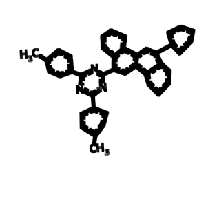 Cc1ccc(-c2nc(-c3ccc(C)cc3)nc(-c3cc4c5ccccc5c(-c5ccccc5)cc4c4ccccc34)n2)cc1